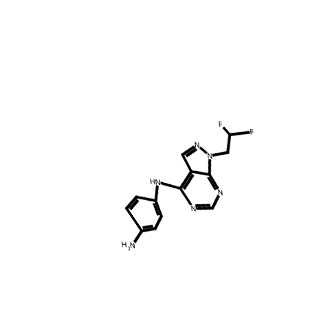 Nc1ccc(Nc2ncnc3c2cnn3CC(F)F)cc1